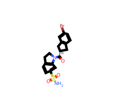 NS(=O)(=O)c1ccc2c(c1)N(C(=O)[C@H]1Cc3ccc(Br)cc3C1)CC2